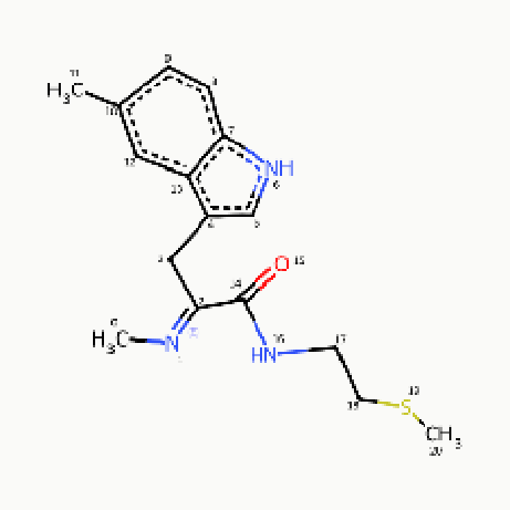 C/N=C(\Cc1c[nH]c2ccc(C)cc12)C(=O)NCCSC